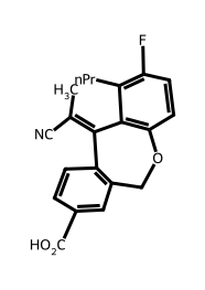 CCCc1c(F)ccc2c1C(=C(C)C#N)c1ccc(C(=O)O)cc1CO2